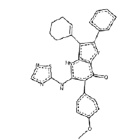 COc1ccc(-c2c(Nc3ncns3)[nH]c3c(C4=CCCCC4)c(-c4ccccc4)nn3c2=O)cc1